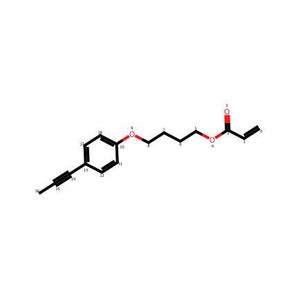 C=CC(=O)OCCCCOc1ccc(C#CC)cc1